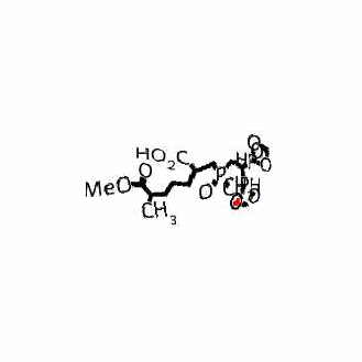 COC(=O)C(C)CCCC(CP(C)(=O)CC([PH]12OC(O1)O2)[PH]12OC(O1)O2)C(=O)O